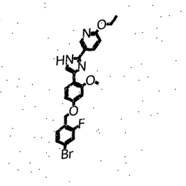 CCOc1ccc(-c2nc(-c3ccc(OCc4ccc(Br)cc4F)cc3OC)c[nH]2)cn1